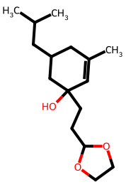 CC1=CC(O)(CCC2OCCO2)CC(CC(C)C)C1